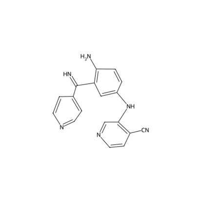 N#Cc1ccncc1Nc1ccc(N)c(C(=N)c2ccncc2)c1